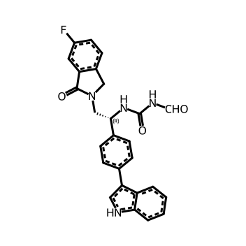 O=CNC(=O)N[C@@H](CN1Cc2ccc(F)cc2C1=O)c1ccc(-c2c[nH]c3ccccc23)cc1